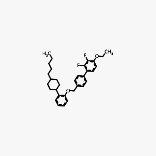 CCCCCC1CCC(c2ccccc2OCc2ccc(-c3ccc(OCC)c(F)c3F)cc2)CC1